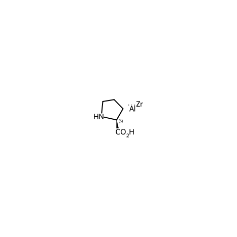 O=C(O)[C@@H]1CCCN1.[Al].[Zr]